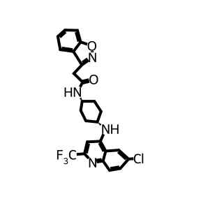 O=C(Cc1noc2ccccc12)N[C@H]1CC[C@@H](Nc2cc(C(F)(F)F)nc3ccc(Cl)cc23)CC1